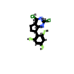 Fc1cc(F)c(C2CCc3c(Cl)nc(Cl)nc32)c(F)c1